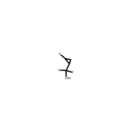 CC(=O)OC(F)(F)C1CC1F